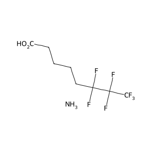 N.O=C(O)CCCCC(F)(F)C(F)(F)C(F)(F)F